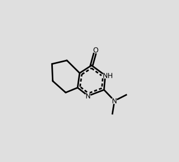 CN(C)c1nc2c(c(=O)[nH]1)CCCC2